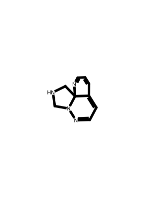 C1=CC2=CC=NN3CNCC23N=C1